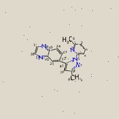 Cc1cccc(-n2nc(C)cc2-c2ccc3nccnc3c2)n1